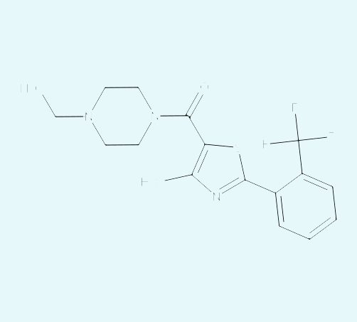 CCN1CCN(C(=O)c2sc(-c3ccccc3C(F)(F)F)nc2C)CC1